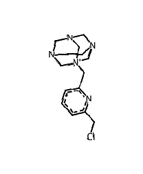 ClCc1cccc(C[N+]23CN4CN(CN(C4)C2)C3)n1